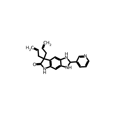 C=CCC1(CC=C)C(=O)Nc2cc3c(cc21)NC(c1cccnc1)N3